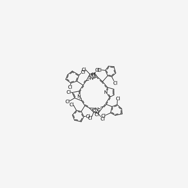 ClC1=C(Cl)c2nc1c(-c1c(Cl)cccc1Cl)c1c(Cl)c(Cl)c(c(-c3c(Cl)cccc3Cl)c3nc(c(-c4c(Cl)cccc4Cl)c4c(Cl)c(Cl)c(c2-c2c(Cl)cccc2Cl)n4Cl)C=C3)n1Cl